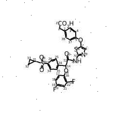 O=C(O)Cc1ccc(Oc2cnc(NC(=O)C(Oc3ccc(F)cc3F)c3ccc(S(=O)(=O)C4CC4)cc3)s2)cc1